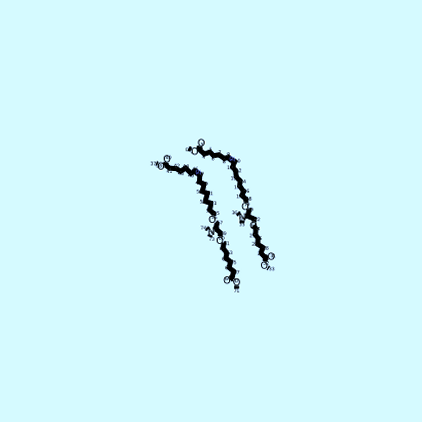 COC(=O)CCCCC/C=C\CCCCCCCCOCC(COCCCCCCC(=O)OC)N(C)C.COC(=O)CCCCC/C=C\CCCCCCCCOCC(COCCCCCCCC(=O)OC)N(C)C